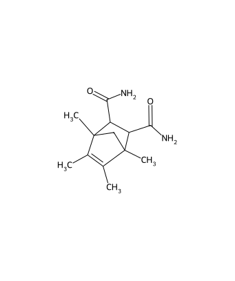 CC1=C(C)C2(C)CC1(C)C(C(N)=O)C2C(N)=O